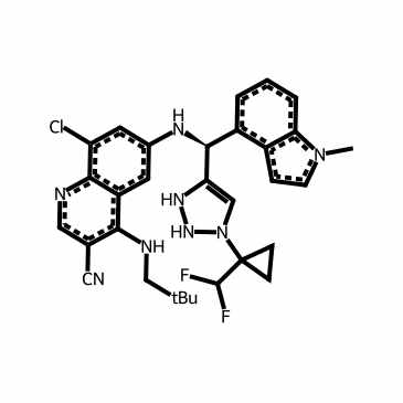 Cn1ccc2c([C@H](Nc3cc(Cl)c4ncc(C#N)c(NCC(C)(C)C)c4c3)C3=CN(C4(C(F)F)CC4)NN3)cccc21